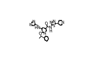 CC(Oc1ncc(C(=O)Nc2nnc(-c3ccncc3)s2)cc1NCc1cn(C)cn1)c1ccccc1